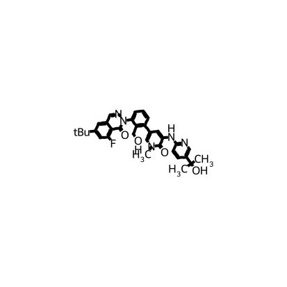 Cn1cc(-c2cccc(-n3ncc4cc(C(C)(C)C)cc(F)c4c3=O)c2CO)cc(Nc2ccc(C(C)(C)O)cn2)c1=O